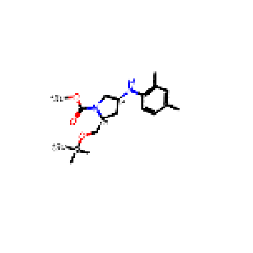 Cc1ccc(N[C@H]2C[C@@H](CO[Si](C)(C)C(C)(C)C)N(C(=O)OC(C)(C)C)C2)c(C)c1